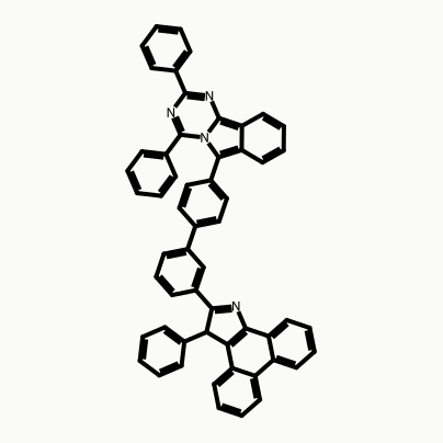 c1ccc(-c2nc(-c3ccccc3)n3c(-c4ccc(-c5cccc(C6=Nc7c(c8ccccc8c8ccccc78)C6c6ccccc6)c5)cc4)c4ccccc4c3n2)cc1